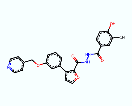 N#Cc1cc(C(=O)NNC(=O)c2occc2-c2cccc(OCc3ccncc3)c2)ccc1O